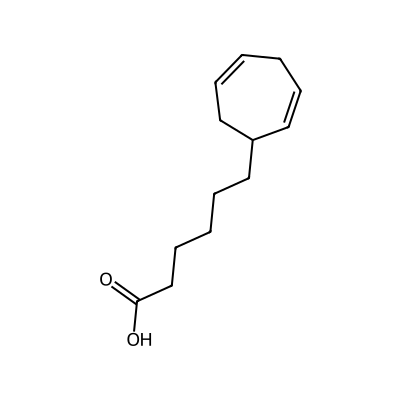 O=C(O)CCCCCC1C=CCC=CC1